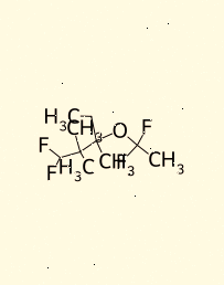 CCC(C)(OC(C)(F)F)C(C)(C)C(F)F